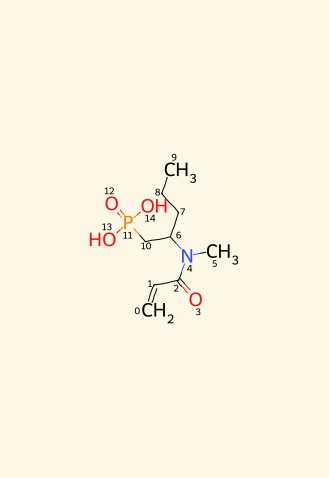 C=CC(=O)N(C)C(CCC)CP(=O)(O)O